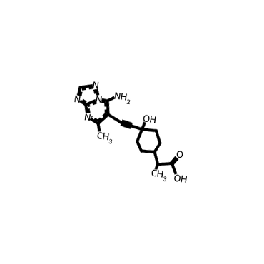 Cc1nc2ncnn2c(N)c1C#CC1(O)CCC(C(C)C(=O)O)CC1